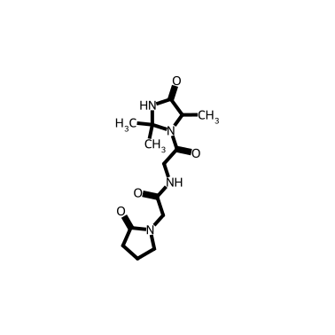 CC1C(=O)NC(C)(C)N1C(=O)CNC(=O)CN1CCCC1=O